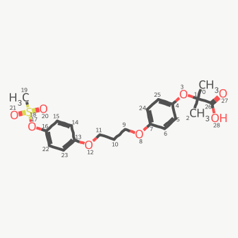 CC(C)(Oc1ccc(OCCCOc2ccc(OS(C)(=O)=O)cc2)cc1)C(=O)O